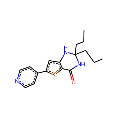 CCCC1(CCC)NC(=O)c2sc(-c3ccncc3)cc2N1